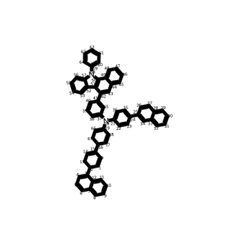 C1=CC(c2cccc3ccccc23)CC=C1C1C=CC(N(c2ccc(-c3ccc4ccccc4c3)cc2)c2cccc(-c3cc4ccccc4c4c3c3ccccc3n4-c3ccccc3)c2)=CC1